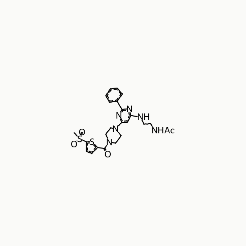 CC(=O)NCCNc1cc(N2CCN(C(=O)c3ccc(S(C)(=O)=O)s3)CC2)nc(-c2ccccc2)n1